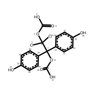 O=C(O)OC(Cl)(Cl)C(OC(=O)O)(c1ccc(O)cc1)c1ccc(O)cc1